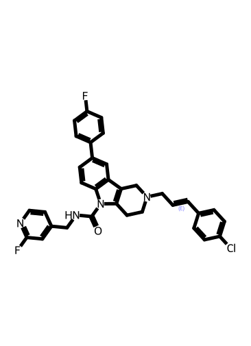 O=C(NCc1ccnc(F)c1)n1c2c(c3cc(-c4ccc(F)cc4)ccc31)CN(C/C=C/c1ccc(Cl)cc1)CC2